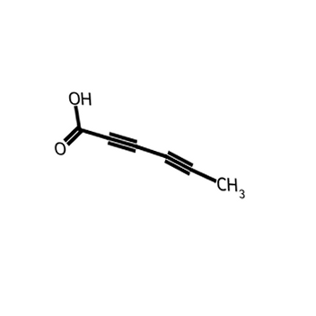 CC#CC#CC(=O)O